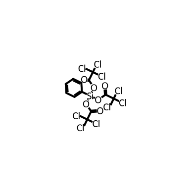 O=C(O[Si](OC(=O)C(Cl)(Cl)Cl)(OC(=O)C(Cl)(Cl)Cl)c1ccccc1)C(Cl)(Cl)Cl